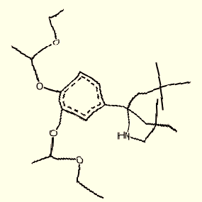 CCOC(C)Oc1ccc(C2(CC(C)(C)C)NCC2(C)C)cc1OC(C)OCC